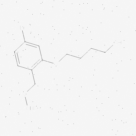 O=COCc1ccc(Br)cc1OCCCCO